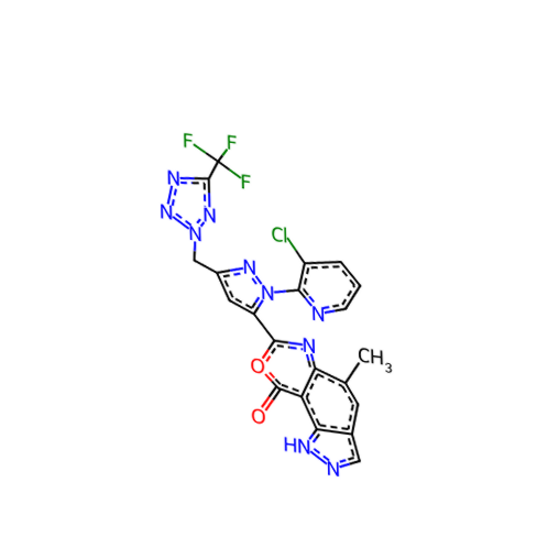 Cc1cc2cn[nH]c2c2c(=O)oc(-c3cc(Cn4nnc(C(F)(F)F)n4)nn3-c3ncccc3Cl)nc12